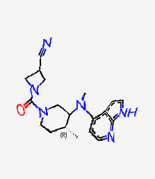 C[C@@H]1CCN(C(=O)N2CC(C#N)C2)CC1N(C)c1ccnc2[nH]ccc12